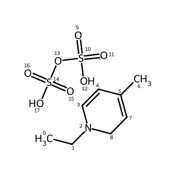 CCN1C=CC(C)=CC1.O=S(=O)(O)OS(=O)(=O)O